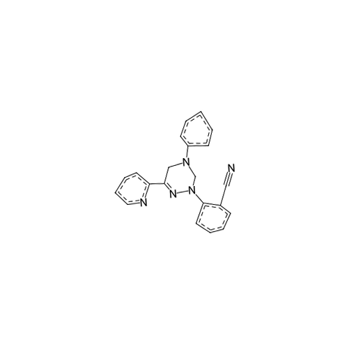 N#Cc1ccccc1N1CN(c2ccccc2)CC(c2ccccn2)=N1